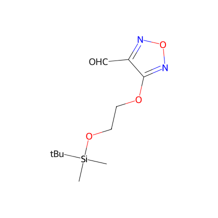 CC(C)(C)[Si](C)(C)OCCOc1nonc1C=O